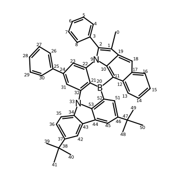 Cc1c(-c2ccccc2)n2c3c(c4ccccc4cc13)B1c3c-2cc(-c2ccccc2)cc3-n2c3ccc(C(C)(C)C)cc3c3cc(C(C)(C)C)cc1c32